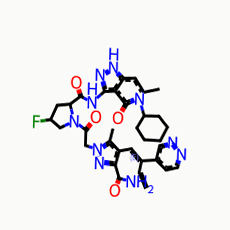 C=C/C(=C\c1c(C(N)=O)nn(CC(=O)N2CC(F)CC2C(=O)Nc2n[nH]c3cc(C)n(C4CCCCC4)c(=O)c23)c1C)c1ccnnc1